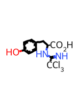 N=C(N[C@@H](Cc1ccc(O)cc1)C(=O)O)C(Cl)(Cl)Cl